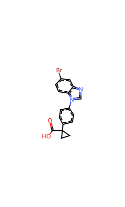 O=C(O)C1(c2ccc(-n3cnc4cc(Br)ccc43)cc2)CC1